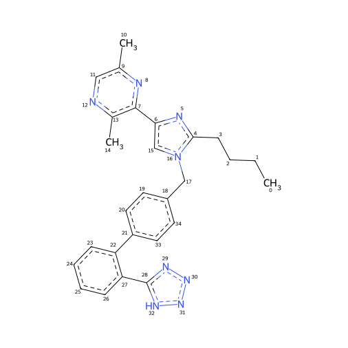 CCCCc1nc(-c2nc(C)cnc2C)cn1Cc1ccc(-c2ccccc2-c2nnn[nH]2)cc1